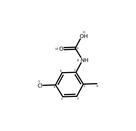 Cc1ccc(Cl)cc1NC(=O)O